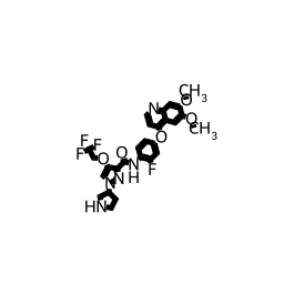 COc1cc2nccc(Oc3ccc(NC(=O)c4nn(C5CCNC5)cc4OCC(F)(F)F)c(F)c3)c2cc1OC